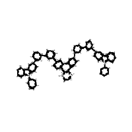 c1ccc(-n2c3ccccc3c3cc(-c4cccc(-c5cccc(-c6ccc7c(c6)c6cc(-c8cccc(-c9cccc(-c%10ccc%11c(c%10)c%10ccccc%10n%11-c%10ccccc%10)c9)c8)ccc6c6nccnc76)c5)c4)ccc32)cc1